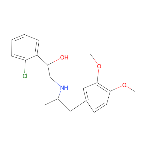 COc1ccc(CC(C)NCC(O)c2ccccc2Cl)cc1OC